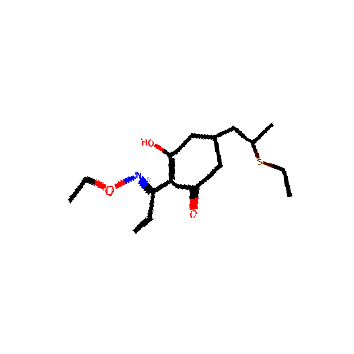 CCO/N=C(\CC)C1=C(O)CC(CC(C)SCC)CC1=O